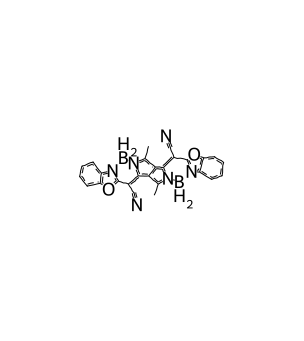 Bn1c(C)c2/c(=C(\C#N)c3nc4ccccc4o3)n(B)c(C)c2/c1=C(\C#N)c1nc2ccccc2o1